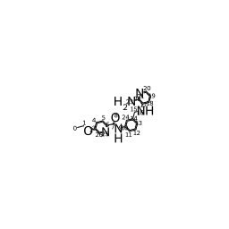 CCOc1ccc(C(=O)Nc2cccc(CNc3cccnc3N)c2)nc1